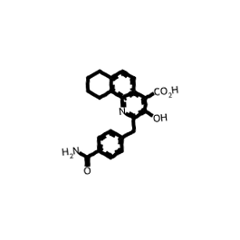 NC(=O)c1ccc(Cc2nc3c4c(ccc3c(C(=O)O)c2O)CCCC4)cc1